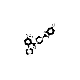 O=C(c1cc([N+](=O)[O-])ccc1N1CCOCC1)N1CCN(c2nc3ccc(Cl)cc3s2)CC1